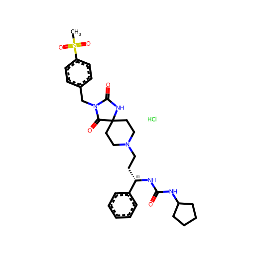 CS(=O)(=O)c1ccc(CN2C(=O)NC3(CCN(CC[C@H](NC(=O)NC4CCCC4)c4ccccc4)CC3)C2=O)cc1.Cl